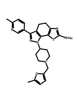 CC(=O)Nc1nc2c(s1)-c1c(c(-c3ccc(C)nc3)nn1C1CCN(Cc3ccc(C)o3)CC1)CC2